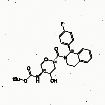 CC(C)(C)OC(=O)N[C@H]1CO[C@H](C(=O)N2CCc3ccccc3[C@@H]2c2ccc(F)cc2)CC1O